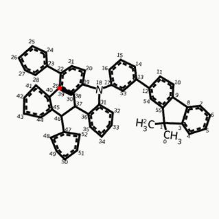 CC1(C)c2ccccc2-c2ccc(-c3cccc(N(c4ccc(-c5ccccc5)cc4)c4ccccc4C4C=Cc5ccccc5C4c4ccccc4)c3)cc21